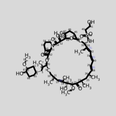 CO[C@@H]1C[C@H](C[C@@H](C)[C@@H]2CC[C@H](C)/C=C(\C)[C@@H](O)[C@@H](OC)C(=O)[C@H](C)C[C@H](C)/C=C/C=C/C=C(\C)[C@@H](NS(=O)(=O)CCO)C[C@@H]3CC[C@@H](C)[C@@](O)(O3)C(=O)C(=O)N3CCCC[C@H]3C(=O)O2)CC[C@H]1O